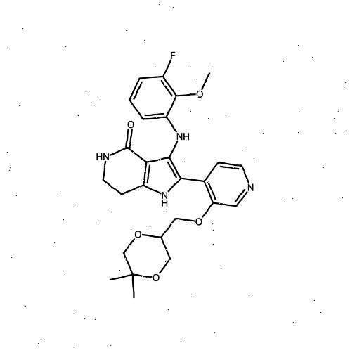 COc1c(F)cccc1Nc1c(-c2ccncc2OCC2COC(C)(C)CO2)[nH]c2c1C(=O)NCC2